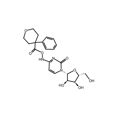 O=C(ONc1ccn([C@@H]2O[C@H](CO)[C@@H](O)[C@H]2O)c(=O)n1)C1(c2ccccc2)CCOCC1